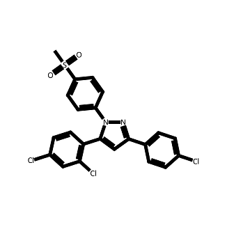 CS(=O)(=O)c1ccc(-n2nc(-c3ccc(Cl)cc3)cc2-c2ccc(Cl)cc2Cl)cc1